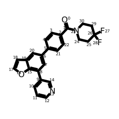 O=C(c1ccc(-c2cc(-c3cccnc3)c3occc3c2)cc1)N1CCC(F)(F)CC1